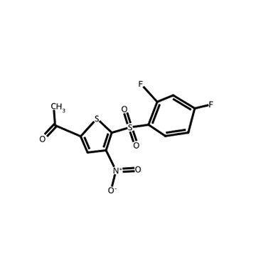 CC(=O)c1cc([N+](=O)[O-])c(S(=O)(=O)c2ccc(F)cc2F)s1